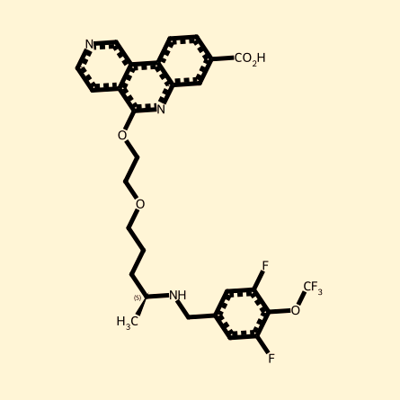 C[C@@H](CCCOCCOc1nc2cc(C(=O)O)ccc2c2cnccc12)NCc1cc(F)c(OC(F)(F)F)c(F)c1